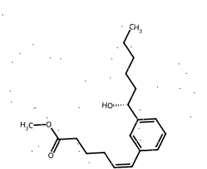 CCCCC[C@@H](O)c1cccc(/C=C\CCCC(=O)OC)c1